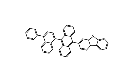 C1=CC2c3ccccc3SC2C=C1c1c2ccccc2c(-c2ccc(-c3ccccc3)c3ccccc23)c2ccccc12